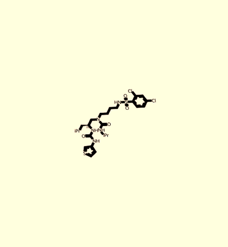 CC(C)C[C@@H](CN(CCCCNS(=O)(=O)c1ccc(Cl)cc1Cl)C(=O)NC(C)C)NC(=O)Nc1ccsc1